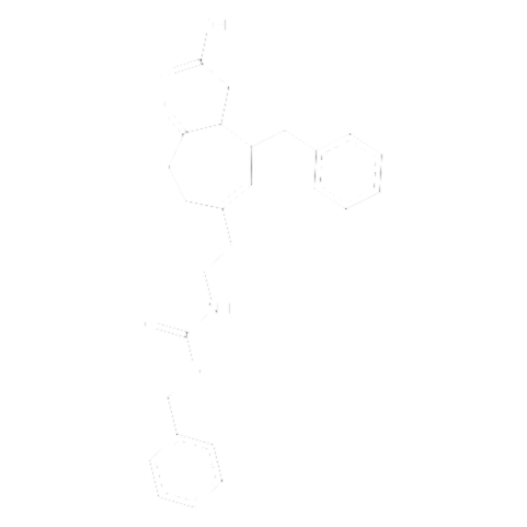 O=C(O)CC1C(=O)CCC(CCNC(=O)OCc2ccccc2)=CC1Cc1ccccc1